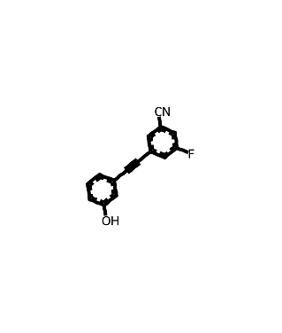 N#Cc1cc(F)cc(C#Cc2cccc(O)c2)c1